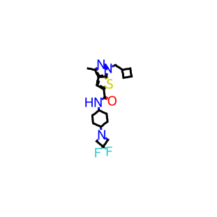 Cc1nn(CC2CCC2)c2sc(C(=O)NC3CCC(N4CC(F)(F)C4)CC3)cc12